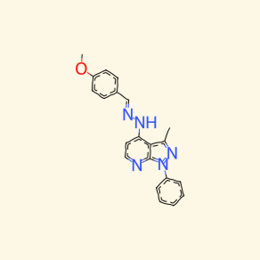 COc1ccc(C=NNc2ccnc3c2c(C)nn3-c2ccccc2)cc1